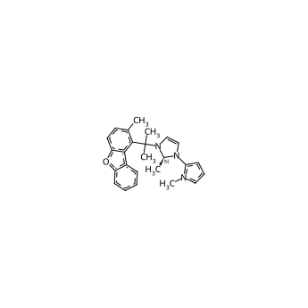 Cc1ccc2oc3ccccc3c2c1C(C)(C)N1C=CN(c2cccn2C)[C@H]1C